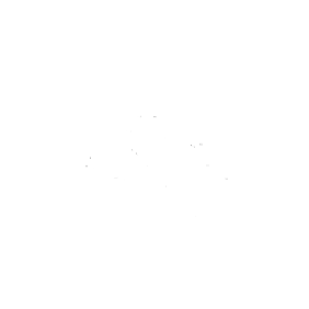 CCc1cc(N(C(=O)O)c2ccccc2)c(OC)nc1C